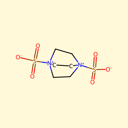 O=S(=O)([O-])[N+]12CC[N+](S(=O)(=O)[O-])(CC1)CC2